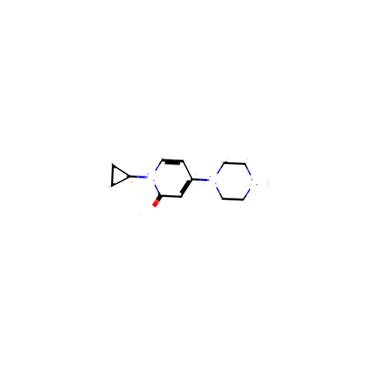 C[C@@H]1CN(c2ccn(C3CC3)c(=O)c2)CCN1